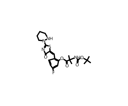 CC(C)(C)OC(=O)NC(C)(C)C(=O)Oc1cc(F)ccc1/C=C1/SC(N2CCCCN2)=NC1=O